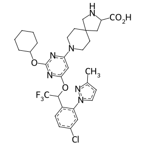 Cc1ccn(-c2cc(Cl)ccc2C(Oc2cc(N3CCC4(CC3)CNC(C(=O)O)C4)nc(OC3CCCCC3)n2)C(F)(F)F)n1